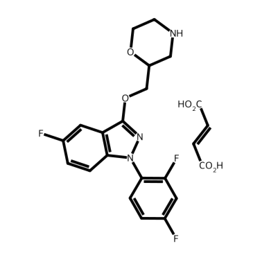 Fc1ccc(-n2nc(OCC3CNCCO3)c3cc(F)ccc32)c(F)c1.O=C(O)C=CC(=O)O